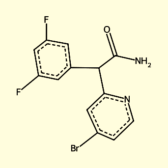 NC(=O)C(c1cc(F)cc(F)c1)c1cc(Br)ccn1